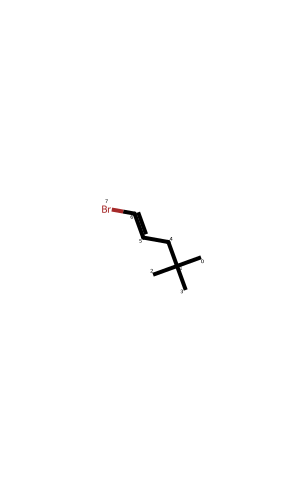 CC(C)(C)C/C=C/Br